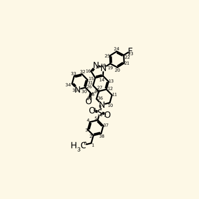 CCc1ccc(S(=O)(=O)N2CCC3=Cc4c(cnn4-c4ccc(F)cc4)C[C@]3(C(=O)c3ccccn3)C2)cc1